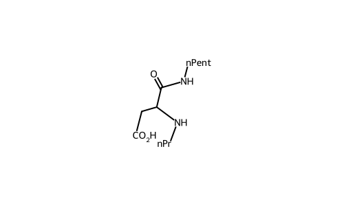 CCCCCNC(=O)C(CC(=O)O)NCCC